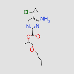 CCCCOCC(C)OC(=O)c1ncc(C2(Cl)CC2)c(N)n1